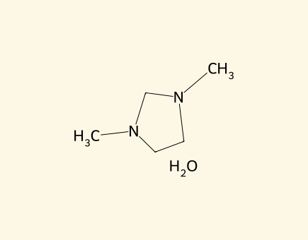 CN1CCN(C)C1.O